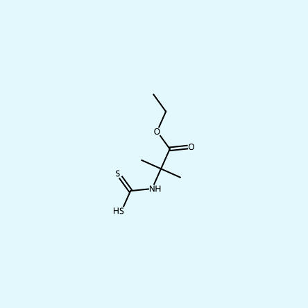 CCOC(=O)C(C)(C)NC(=S)S